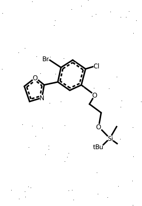 CC(C)(C)[Si](C)(C)OCCOc1cc(-c2ncco2)c(Br)cc1Cl